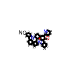 N#Cc1ccc2c(c1)c1ccccc1n2-c1ccccc1-c1ccccc1-n1c2ccccc2c2c3oc4cccnc4c3ccc21